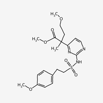 COCCC(C)(C(=O)OC)c1ccnc(NS(=O)(=O)CCc2ccc(OC)cc2)n1